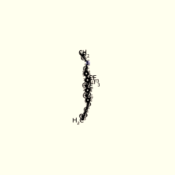 C=CC(=O)OCC/C=C\CCOc1ccc(-c2ccc(OC(=O)c3ccc(OC(=O)c4ccc(OCCOCCOC(=O)C=C)cc4F)cc3F)c(C(F)(F)F)c2C(F)(F)F)cc1